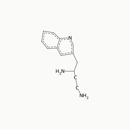 NCCC(N)Cc1cnc2ccccc2c1